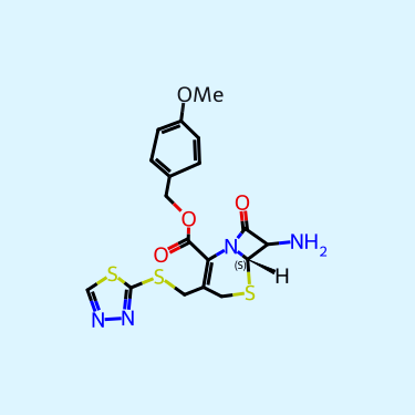 COc1ccc(COC(=O)C2=C(CSc3nncs3)CS[C@H]3C(N)C(=O)N23)cc1